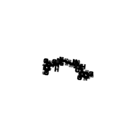 COc1ccc2c(c1)C(CC(=O)Nc1nnc(CCCCc3nnc(NC(=O)CC4CC(=O)c5ccc(OC)cc54)s3)s1)CC2=O